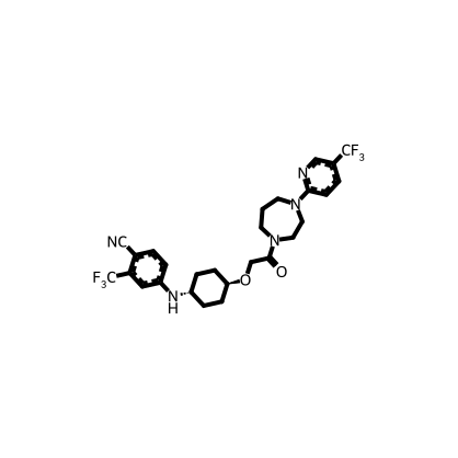 N#Cc1ccc(N[C@H]2CC[C@H](OCC(=O)N3CCCN(c4ccc(C(F)(F)F)cn4)CC3)CC2)cc1C(F)(F)F